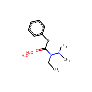 CCN(C(=O)[B]c1ccccc1)N(C)C.O.O